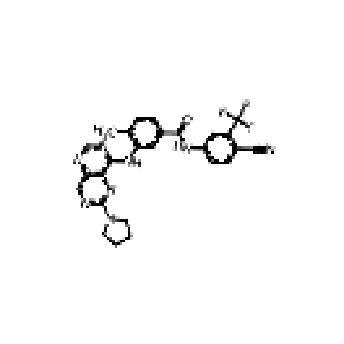 Cc1ccc(C(=O)Nc2ccc(C#N)c(C(F)(F)F)c2)cc1Nc1ncnc2cnc(N3CCCC3)nc12